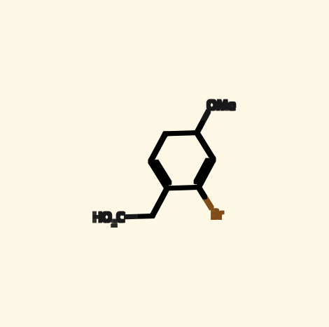 COC1C=C(Br)C(CC(=O)O)=CC1